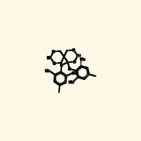 Cc1cc(C(C)(C)C)c(OC2(Oc3c(C(C)(C)C)cc(C)cc3C(C)(C)C)OPOCC23COPOC3)c(C(C)(C)C)c1